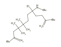 C=C(CCC(CC)(CCC(C)(C)C(C)(C)CC(=C)C(C)(C)C)NC(C)(C)C)C(C)(C)C